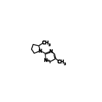 Cc1[c]nc(N2CCCC2C)nc1